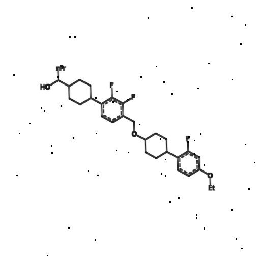 CCCC(O)C1CCC(c2ccc(COC3CCC(c4ccc(OCC)cc4F)CC3)c(F)c2F)CC1